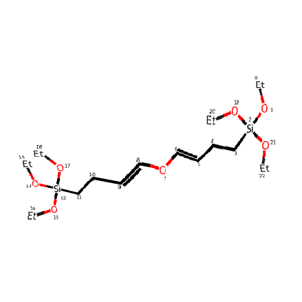 CCO[Si](CCC=COC=CCC[Si](OCC)(OCC)OCC)(OCC)OCC